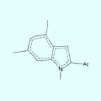 CC(=O)c1cc2c(C)cc(C)cc2n1C